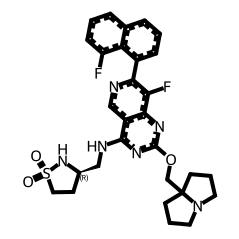 O=S1(=O)CC[C@H](CNc2nc(OCC34CCCN3CCC4)nc3c(F)c(-c4cccc5cccc(F)c45)ncc23)N1